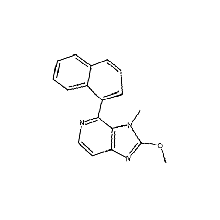 COc1nc2ccnc(-c3cccc4ccccc34)c2n1C